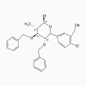 CC[C@H]1OC(c2ccc(Cl)c(CC#N)c2)[C@H](OCc2ccccc2)[C@@H](OCc2ccccc2)[C@@H]1C